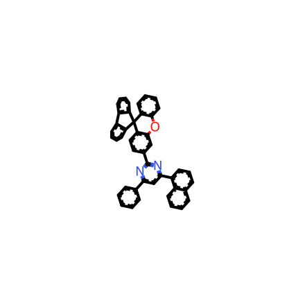 c1ccc(-c2cc(-c3cccc4ccccc34)nc(-c3ccc4c(c3)Oc3ccccc3C43c4ccccc4-c4ccccc43)n2)cc1